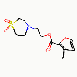 Cc1ccoc1C(=O)OCCN1CCS(=O)(=O)CC1